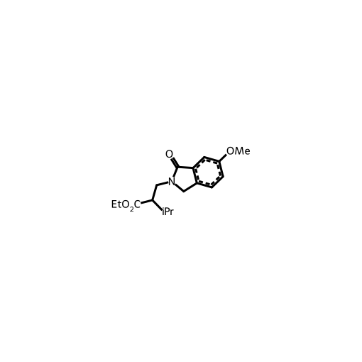 CCOC(=O)C(CN1Cc2ccc(OC)cc2C1=O)C(C)C